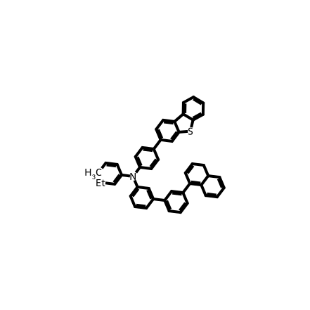 C/C=C\C(=C/CC)N(c1ccc(-c2ccc3c(c2)sc2ccccc23)cc1)c1cccc(-c2cccc(C3=C4C=CC=CC4CC=C3)c2)c1